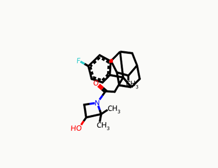 CC1C2CC3CC1CC(C2)C3(CC(=O)N1CC(O)C1(C)C)c1ccc(F)cc1